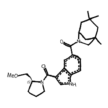 COC[C@@H]1CCCN1C(=O)c1c[nH]c2ccc(C(=O)N3CC4(C)CC3CC(C)(C)C4)cc12